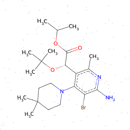 Cc1nc(N)c(Br)c(N2CCC(C)(C)CC2)c1[C@H](OC(C)(C)C)C(=O)OC(C)C